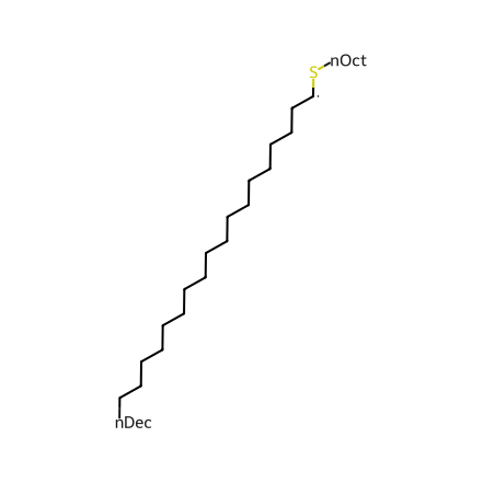 CCCCCCCCCCCCCCCCCCCCCCCCCCC[CH]SCCCCCCCC